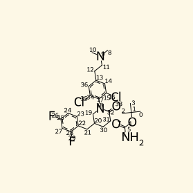 CC(C)(C)OC(N)=O.CN(C)CCc1cc(Cl)c(N2CC(Cc3ccc(F)cc3F)CCC2=O)c(Cl)c1